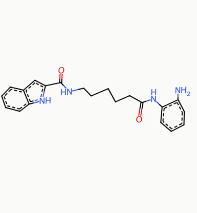 Nc1ccccc1NC(=O)CCCCCNC(=O)c1cc2ccccc2[nH]1